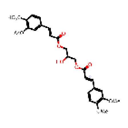 COc1ccc(/C=C/C(=O)OCC(O)COC(=O)C=Cc2ccc(C(=O)O)c(OC(C)=O)c2)cc1OC